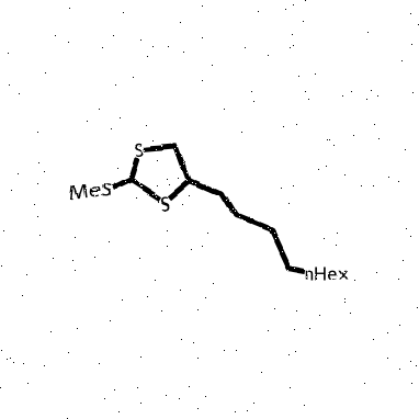 CCCCCCCCCCC1CSC(SC)S1